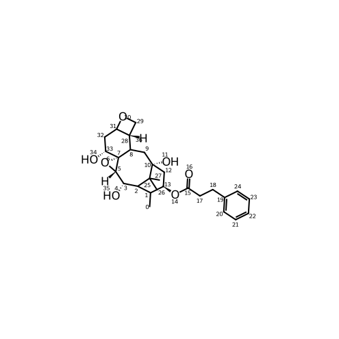 CC1C2[C@H](O)[C@@H]3O[C@]34C(C[C@@](O)(C[C@H]1OC(=O)CCc1ccccc1)C2(C)C)[C@H]1COC1C[C@H]4O